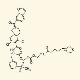 CS(=O)(=O)c1cccc(C[C@H](NC(=O)c2c(Cl)cc3c(c2Cl)CCN(C(=O)c2ccc4ccoc4c2)C3)C(=O)OCOC(=O)OCCOC(=O)CCCC[C@@H]2CCSS2)c1